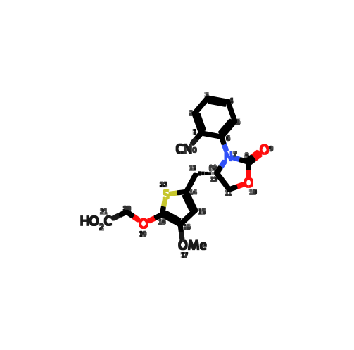 [C-]#[N+]c1ccccc1N1C(=O)OC[C@@H]1Cc1cc(OC)c(OCC(=O)O)s1